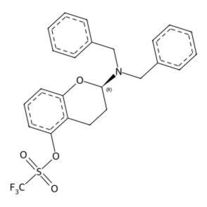 O=S(=O)(Oc1cccc2c1CC[C@H](N(Cc1ccccc1)Cc1ccccc1)O2)C(F)(F)F